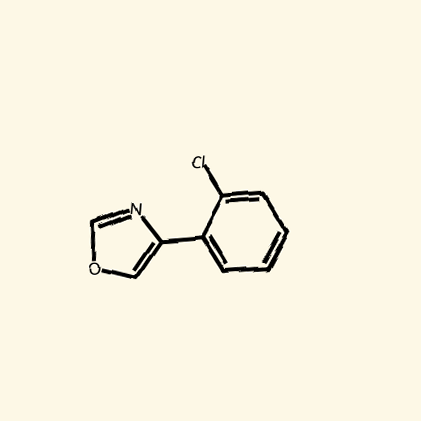 Clc1ccccc1-c1cocn1